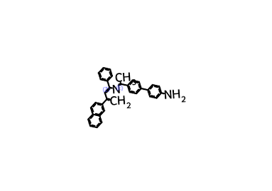 C=C(/C=C(\N=C(/C)c1ccc(-c2ccc(N)cc2)cc1)c1ccccc1)c1ccc2ccccc2c1